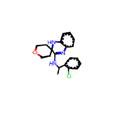 CC(NC1=Nc2ccccc2NC12CCOCC2)c1ccccc1Cl